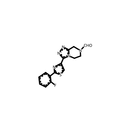 O=CN1CCn2c(nnc2-c2csc(-c3ccccc3F)n2)C1